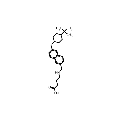 CC(C)(C)C1CCC(Oc2ccc3cc(CNCCCC(=O)O)ccc3c2)CC1